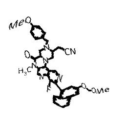 COCOc1cc(-c2ncc3c4c(cnc3c2F)N(C)C(=O)C2CN(Cc3ccc(OC)cc3)C(CC#N)CN42)c2ccccc2c1